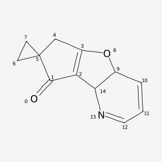 O=C1C2=C(CC13CC3)OC1C=CC=NC21